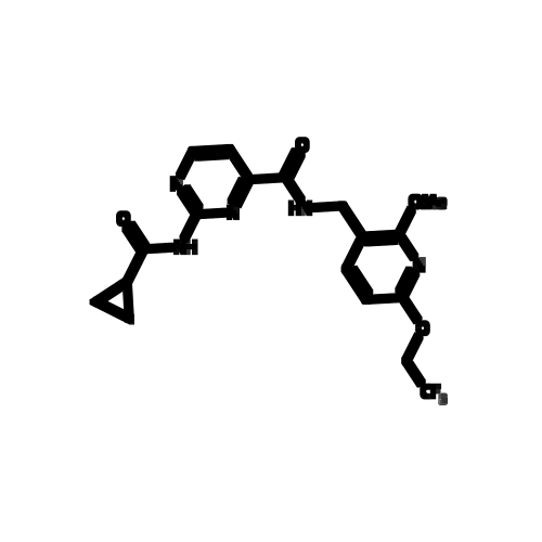 COc1nc(OCC(F)(F)F)ccc1CNC(=O)c1ccnc(NC(=O)C2CC2)n1